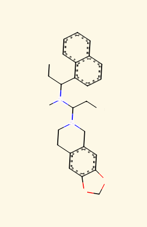 CCC(c1cccc2ccccc12)N(C)C(CC)N1CCc2cc3c(cc2C1)OCO3